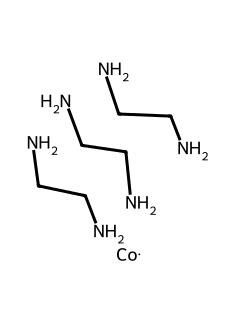 NCCN.NCCN.NCCN.[Co]